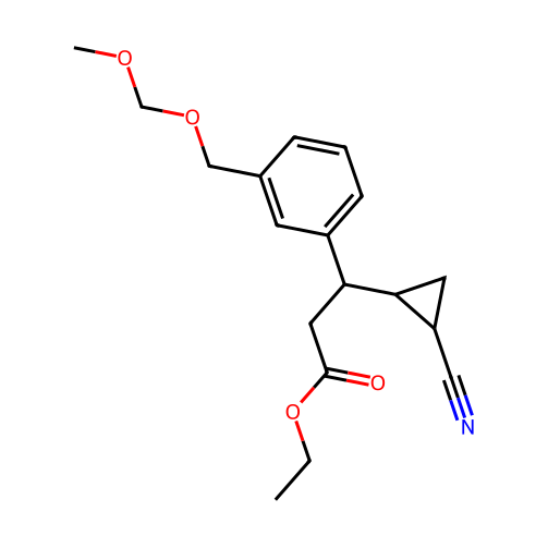 CCOC(=O)CC(c1cccc(COCOC)c1)C1CC1C#N